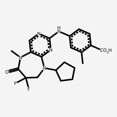 Cc1cc(Nc2ncc3c(n2)N(C2CCCC2)CC(F)(F)C(=O)N3C)ccc1C(=O)O